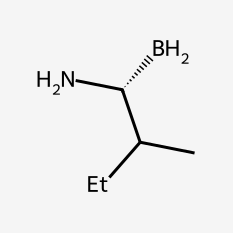 B[C@@H](N)C(C)CC